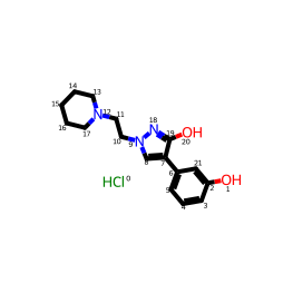 Cl.Oc1cccc(-c2cn(CCN3CCCCC3)nc2O)c1